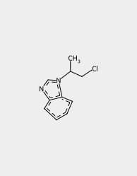 CC(CCl)n1cnc2ccccc21